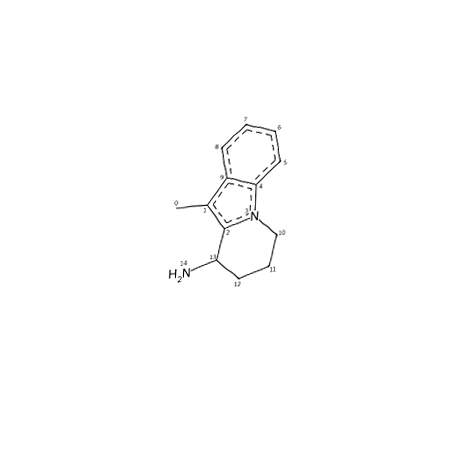 Cc1c2n(c3ccccc13)CCCC2N